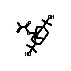 C=C(C)C(=O)OC12CC3CC(C(C)(C)O)(C1)CC(C(C)(C)O)(C3)C2